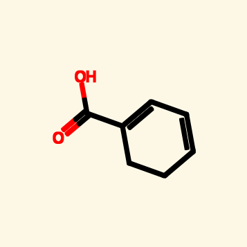 O=C(O)C1=CC=CCC1